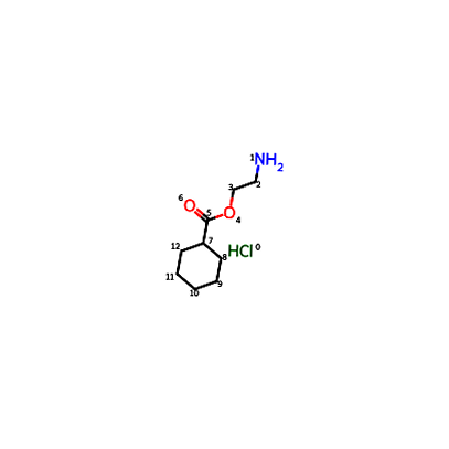 Cl.NCCOC(=O)C1CCCCC1